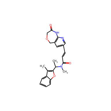 Cc1c(C(C)N(C)C(=O)C=Cc2cnc3c(c2)COCC(=O)N3)oc2ccccc12